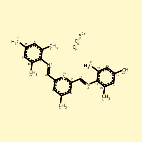 Cc1cc(C=Nc2c(C)cc(C)cc2C)nc(C=Nc2c(C)cc(C)cc2C)c1.[Cl-].[Cl-].[V+2]